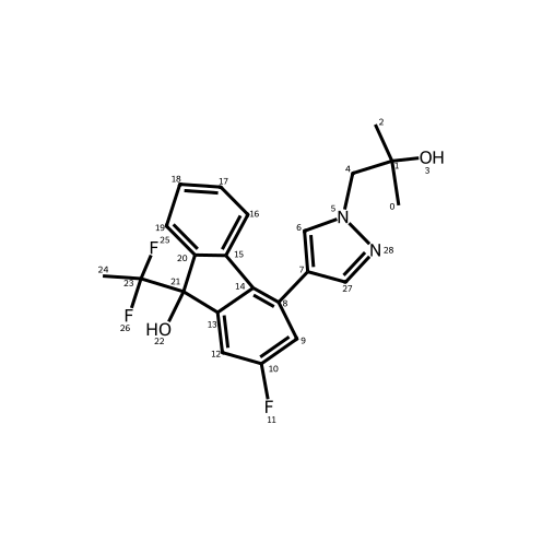 CC(C)(O)Cn1cc(-c2cc(F)cc3c2-c2ccccc2C3(O)C(C)(F)F)cn1